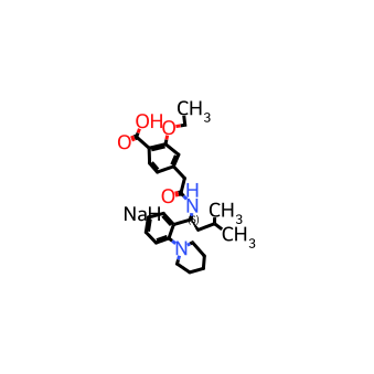 CCOc1cc(CC(=O)N[C@@H](CC(C)C)c2ccccc2N2CCCCC2)ccc1C(=O)O.[NaH]